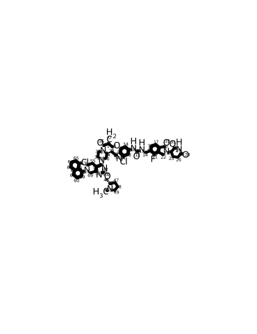 C=C(COc1cc(Cl)cc(NC(=O)NCc2ccc3c(c2F)CN(C2CCC(=O)NC2=O)C3=O)c1)C(=O)N1CCN(c2nc(OC[C@@H]3CCCN3C)nc3c2CCN(c2cccc4cccc(Cl)c24)C3)C[C@@H]1CC#N